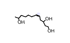 CC(O)CCCC/C=C\CC(O)CCO